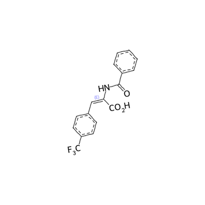 O=C(O)/C(=C\c1ccc(C(F)(F)F)cc1)NC(=O)c1ccccc1